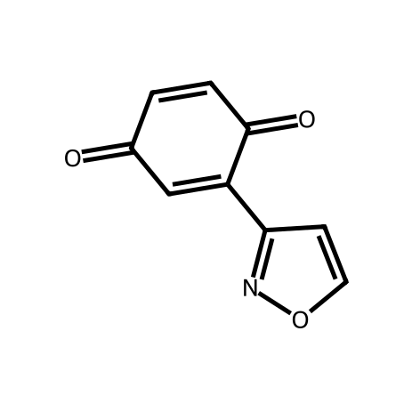 O=C1C=CC(=O)C(c2ccon2)=C1